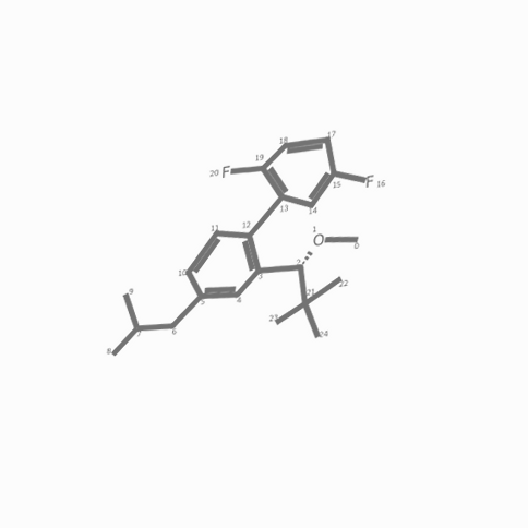 CO[C@@H](c1cc(CC(C)C)ccc1-c1cc(F)ccc1F)C(C)(C)C